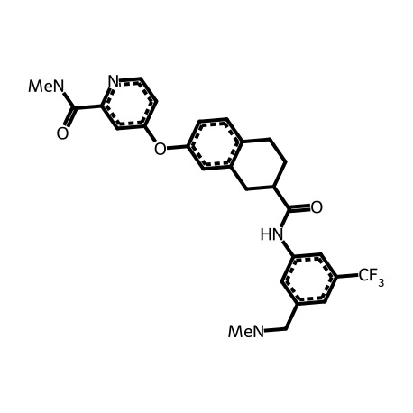 CNCc1cc(NC(=O)C2CCc3ccc(Oc4ccnc(C(=O)NC)c4)cc3C2)cc(C(F)(F)F)c1